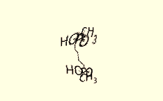 CP(=O)(O)CCCCP(C)(=O)O